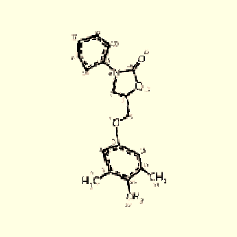 Cc1cc(OCC2CN(c3ccccc3)C(=O)O2)cc(C)c1C